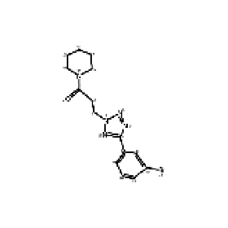 O=C(CCn1nnc(-c2cccc(Br)c2)n1)N1CCCCC1